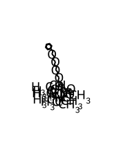 COC(=O)[C@@H]1C[C@H](OCCOCCOCCOCCOCc2ccccc2)CN1C(=O)[C@@H](NC(=O)[C@H](C)N(C)C(=O)OC(C)(C)C)C(C)(C)C